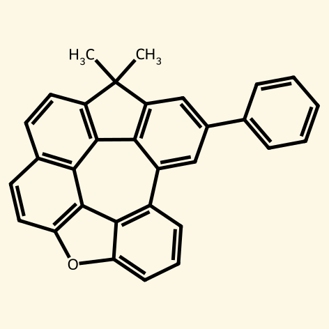 CC1(C)c2cc(-c3ccccc3)cc3c2-c2c1ccc1ccc4oc5cccc-3c5c4c21